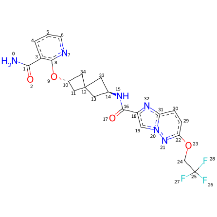 NC(=O)c1cccnc1O[C@H]1CC2(C[C@H](NC(=O)c3cn4nc(OCC(F)(F)F)ccc4n3)C2)C1